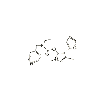 CCN(Cc1ccncc1)C(=O)Oc1c(-c2ccco2)c(C)cn1C